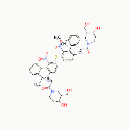 CC(C)c1ccccc1-c1c(/C=C/C(=O)N2CCC(O)C(CO)C2)ccc(Sc2ccc(/C=C/C(=O)N3CCC(O)C(CO)C3)c(-c3ccccc3C(C)C)c2[N+](=O)[O-])c1[N+](=O)[O-]